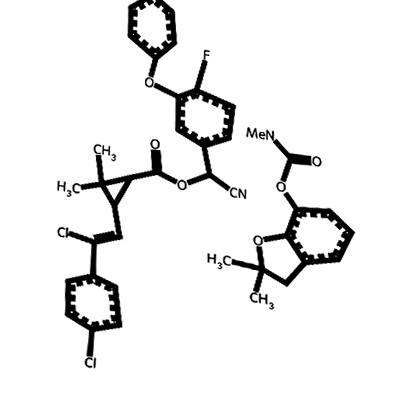 CC1(C)C(/C=C(\Cl)c2ccc(Cl)cc2)C1C(=O)OC(C#N)c1ccc(F)c(Oc2ccccc2)c1.CNC(=O)Oc1cccc2c1OC(C)(C)C2